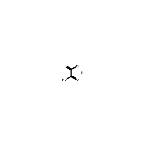 O=C(O)C(=O)O.[Tl]